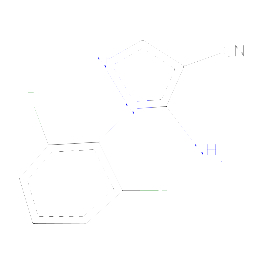 N#Cc1cnn(-c2c(F)cccc2F)c1N